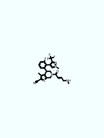 CNC/C=C/C(=O)N1Cc2sc(C#N)c(C)c2C(c2cccc(F)c2-c2cn(C)nc2C(F)(F)F)C1